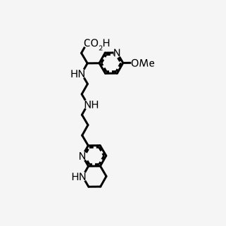 COc1ccc(C(CC(=O)O)NCCNCCCc2ccc3c(n2)NCCC3)cn1